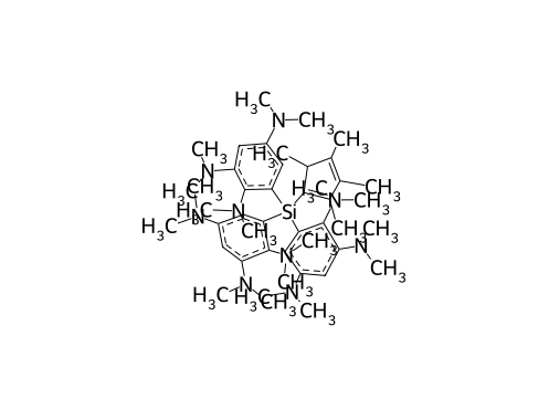 CC1=C(C)C(C)C([Si](c2cc(N(C)C)cc(N(C)C)c2N(C)C)(c2cc(N(C)C)cc(N(C)C)c2N(C)C)c2cc(N(C)C)cc(N(C)C)c2N(C)C)=C1C